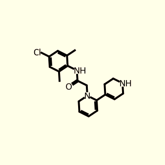 Cc1cc(Cl)cc(C)c1NC(=O)CN1CC=CC=C1C1=CCNCC1